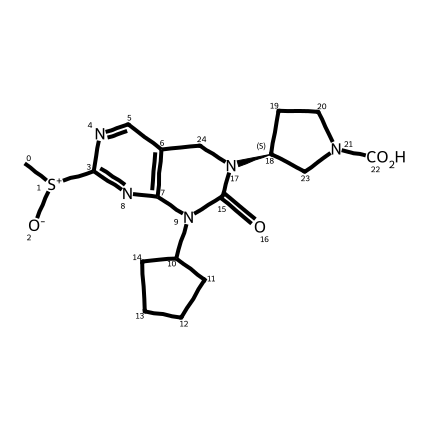 C[S+]([O-])c1ncc2c(n1)N(C1CCCC1)C(=O)N([C@H]1CCN(C(=O)O)C1)C2